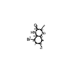 Cc1nc2cc(I)cc(Br)c2[nH]c1=O